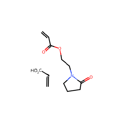 C=CC(=O)O.C=CC(=O)OCCN1CCCC1=O